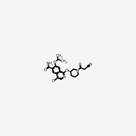 CC(C)Oc1cc2c(O[C@@H]3CCCN(C(=O)CC#N)C3)ncc(Cl)c2cc1C(N)=O